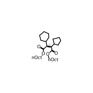 CCCCCCCCOC(=O)/C(=C(\C(=O)OCCCCCCCC)C1CCCC1)C1CCCCC1